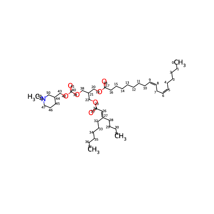 CCCCC/C=C\C/C=C\CCCCCCCC(=O)OCC(COC(=O)/C=C(/CCCC)CCCCCC)COC(=O)OCC1CCCN(C)C1